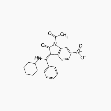 CC(=O)N1C(=O)/C(=C(\NC2CCCCC2)c2ccccc2)c2ccc([N+](=O)[O-])cc21